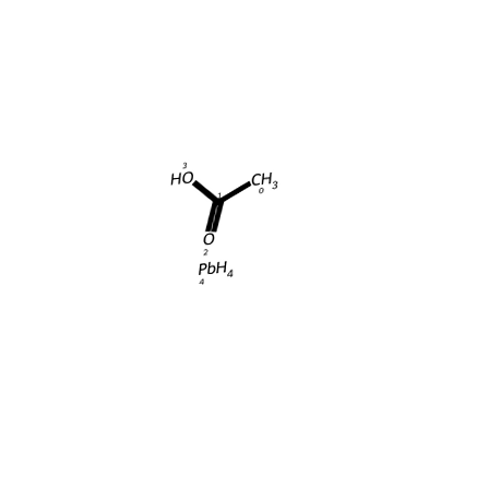 CC(=O)O.[PbH4]